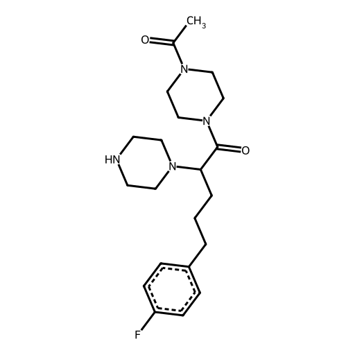 CC(=O)N1CCN(C(=O)C(CCCc2ccc(F)cc2)N2CCNCC2)CC1